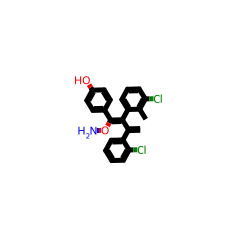 C=C(/C(=C(\ON)c1ccc(O)cc1)c1cccc(Cl)c1C)c1ccccc1Cl